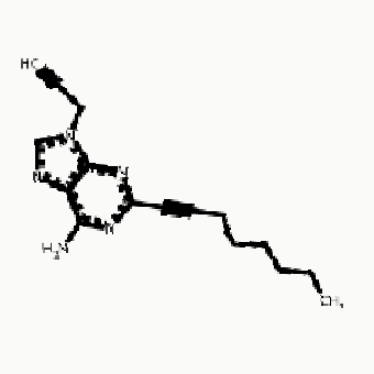 C#CCn1cnc2c(N)nc(C#CCCCCCC)nc21